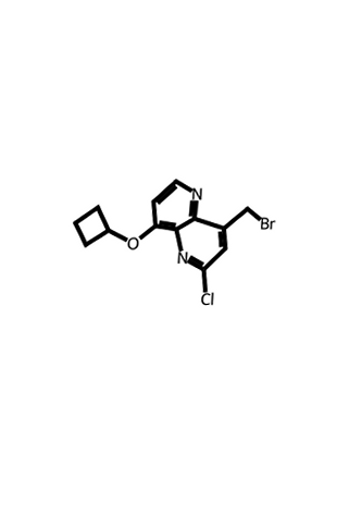 Clc1cc(CBr)c2nccc(OC3CCC3)c2n1